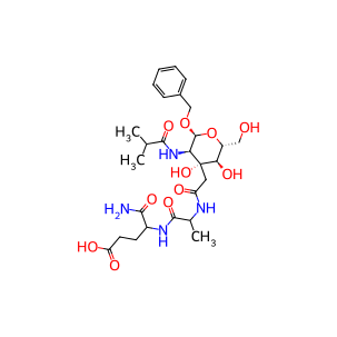 CC(C)C(=O)N[C@H]1[C@@H](OCc2ccccc2)O[C@H](CO)[C@@H](O)[C@@]1(O)CC(=O)NC(C)C(=O)NC(CCC(=O)O)C(N)=O